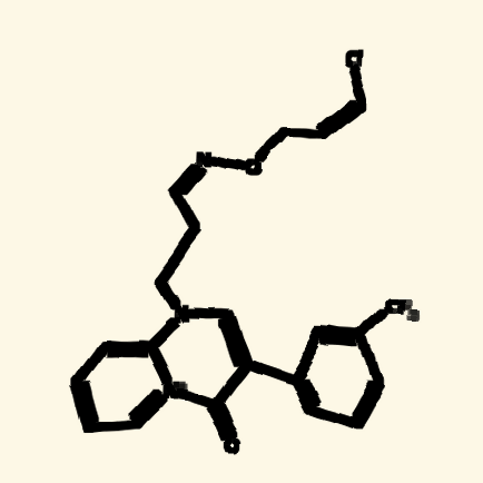 O=c1c(-c2cccc(C(F)(F)F)c2)cn(CC/C=N\OC/C=C\Cl)c2cccc[n+]12